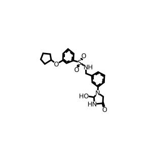 O=C1CN(c2cccc(CNS(=O)(=O)c3cccc(OC4CCCC4)c3)c2)C(O)N1